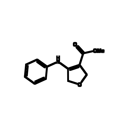 COC(=O)C1=C(Nc2ccccc2)COC1